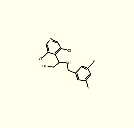 OCC(NCc1cc(F)cc(F)c1)c1c(Cl)cncc1Cl